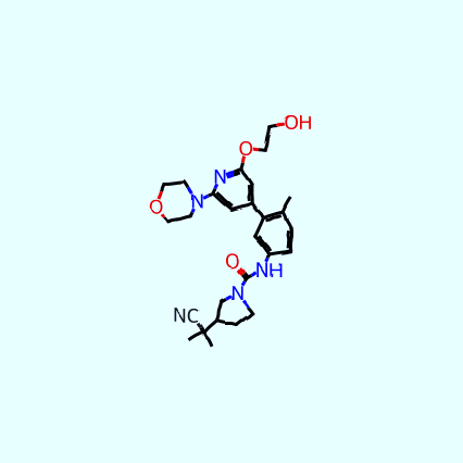 Cc1ccc(NC(=O)N2CCC(C(C)(C)C#N)C2)cc1-c1cc(OCCO)nc(N2CCOCC2)c1